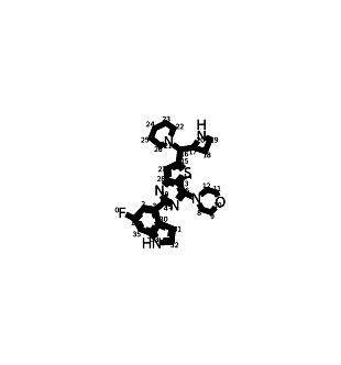 Fc1cc(-c2nc(N3CCOCC3)c3sc(C(C4CCN4)N4CCCCC4)cc3n2)c2cc[nH]c2c1